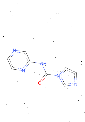 O=C(Nc1cnccn1)n1ccnc1